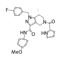 COc1ccc(NC(=O)c2nn(Cc3ccc(F)cc3)c3c2CN(C(=O)c2ccc[nH]2)C[C@H]3C)cc1